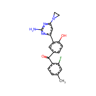 Cc1ccc(C(=O)c2ccc(O)c(-c3cc(N4CC4)nc(N)n3)c2)c(F)c1